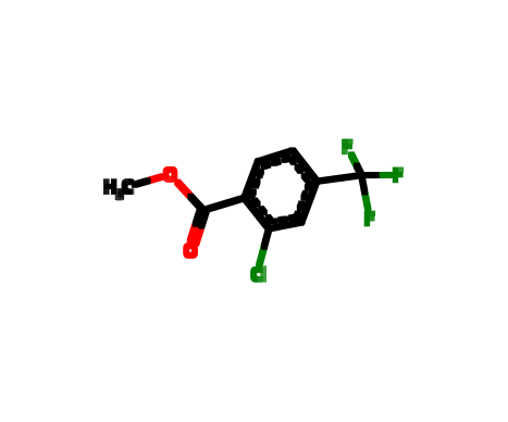 COC(=O)c1ccc(C(F)(F)F)cc1Cl